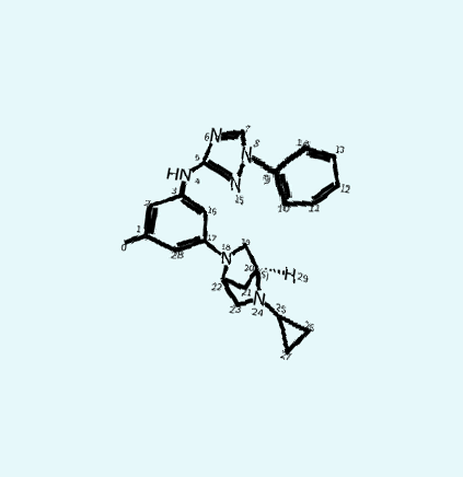 Cc1cc(Nc2ncn(-c3ccccc3)n2)cc(N2C[C@@H]3CC2CN3C2CC2)c1